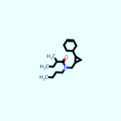 CCCCN(CC1CC1C1CC=CCC1)C(=O)C(C)CC